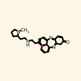 CN1CCCC1CCNCCC(=O)C1C=CC=C2N=C3CC(=O)C=CC3=NC3=CC=CCC321